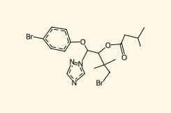 CC(C)CC(=O)OC(C(Oc1ccc(Br)cc1)n1cncn1)C(C)(C)CBr